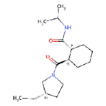 CC[C@H]1CCN(C(=O)[C@@H]2CCCC[C@H]2C(=O)NC(C)C)C1